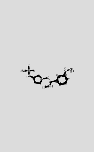 CCN[C@H](CN1CCC(O[Si](C)(C)C(C)(C)C)C1)c1cccc(OC(F)(F)F)c1